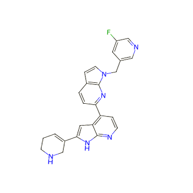 Fc1cncc(Cn2ccc3ccc(-c4ccnc5[nH]c(C6=CCCNC6)cc45)nc32)c1